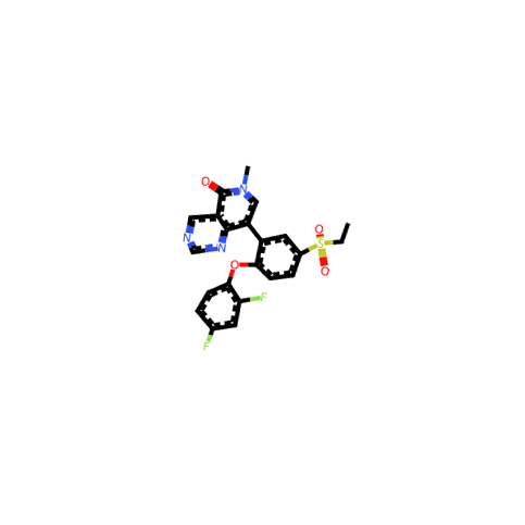 CCS(=O)(=O)c1ccc(Oc2ccc(F)cc2F)c(-c2cn(C)c(=O)c3cncnc23)c1